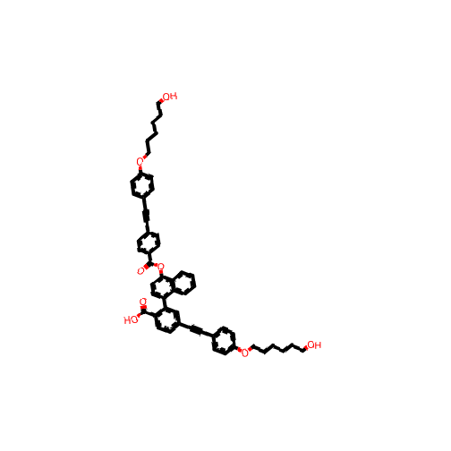 O=C(Oc1ccc(-c2cc(C#Cc3ccc(OCCCCCCO)cc3)ccc2C(=O)O)c2ccccc12)c1ccc(C#Cc2ccc(OCCCCCCO)cc2)cc1